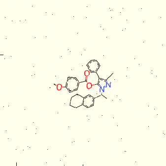 COc1ccc(C(=O)Oc2c(-c3ccccc3)c(C)nn2C(C)c2ccc3c(c2)CCCC3)cc1